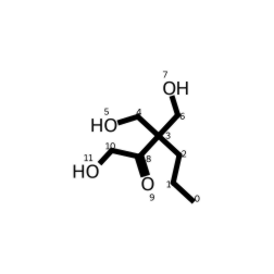 CCCC(CO)(CO)C(=O)CO